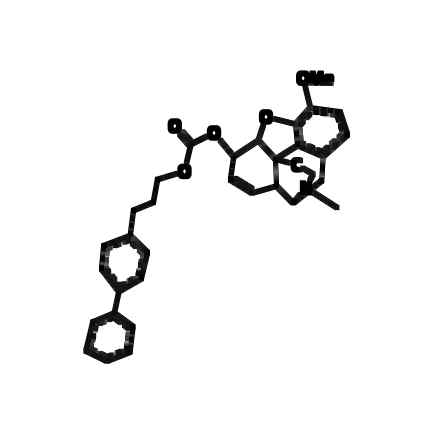 COc1ccc2c3c1OC1C(OC(=O)OCCCc4ccc(-c5ccccc5)cc4)C=CC4C(C2)N(C)CCC341